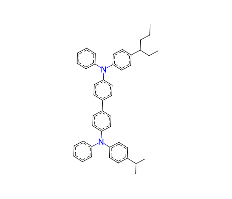 CCCC(CC)c1ccc(N(c2ccccc2)c2ccc(-c3ccc(N(c4ccccc4)c4ccc(C(C)C)cc4)cc3)cc2)cc1